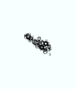 O=C(NCc1ccc(OC(F)F)cc1)[C@H]1CN(c2nc3ncncc3s2)CCN1S(=O)(=O)c1ccc(OC(F)(F)F)cc1